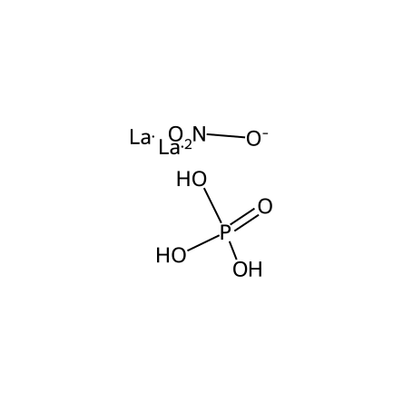 O=P(O)(O)O.O=[N+]([O-])[O-].[La].[La]